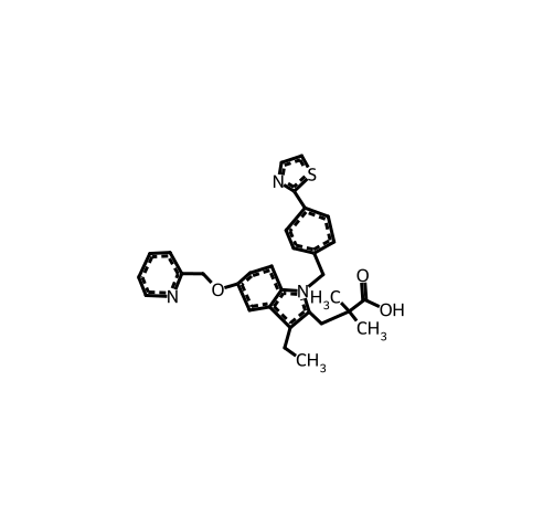 CCc1c(CC(C)(C)C(=O)O)n(Cc2ccc(-c3nccs3)cc2)c2ccc(OCc3ccccn3)cc12